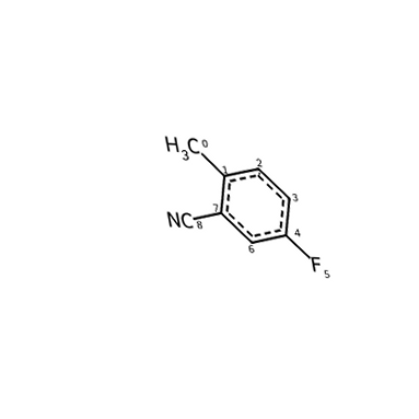 Cc1[c]cc(F)cc1C#N